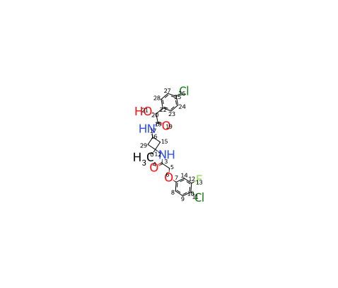 CC1(NC(=O)COc2ccc(Cl)c(F)c2)CC(NC(=O)[C@H](O)c2ccc(Cl)cc2)C1